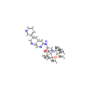 BC1(B)OC(B)(B)C(B)(B)N(CC(=O)Nc2cc3cc(-c4cccnc4)cnc3cn2)C1(B)B